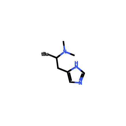 CN(C)C(Cc1cnc[nH]1)C(C)(C)C